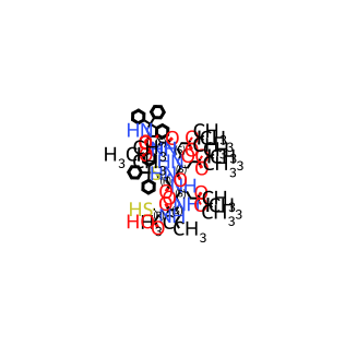 CC(C)C[C@H](NC(=O)[C@H](CCC(=O)OC(C)(C)C)NC(=O)[C@H](CSC(c1ccccc1)(c1ccccc1)c1ccccc1)NC(=O)[C@H](CCC(=O)OC(C)(C)C)NC(=O)[C@H](CC(=O)OC(C)(C)C)NC(=O)[C@H](CC(=O)NC(c1ccccc1)(c1ccccc1)c1ccccc1)NC(=O)OC(C)(C)C)C(=O)N[C@@H](CS)C(=O)O